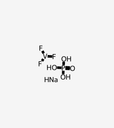 O=P(O)(O)O.[F][V]([F])[F].[NaH]